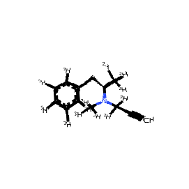 [2H]c1c([2H])c([2H])c(C[C@H](N(C([2H])([2H])[2H])C([2H])([2H])C#C)C([2H])([2H])[2H])c([2H])c1[2H]